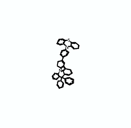 C1=CCC(C2(c3ccccc3)C3=CCCc4c5c(n(c43)-c3ccccc32)CCC(c2ccc(N3C4=CCCC=C4Sc4ccccc43)cc2)=C5)C=C1